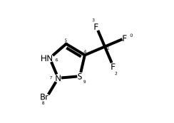 FC(F)(F)C1=CNN(Br)S1